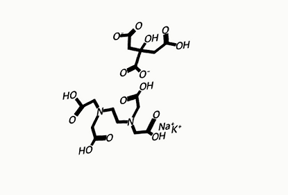 O=C(O)CN(CCN(CC(=O)O)CC(=O)O)CC(=O)O.O=C([O-])CC(O)(CC(=O)O)C(=O)[O-].[K+].[Na+]